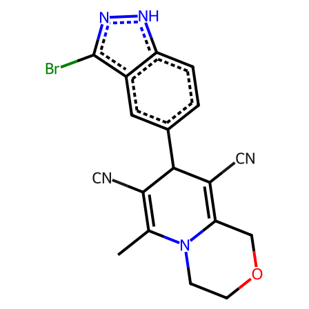 [C-]#[N+]C1=C(C)N2CCOCC2=C(C#N)C1c1ccc2[nH]nc(Br)c2c1